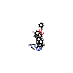 C[C@H]1[C@H](C)CC[C@]2(C(=O)OCc3ccccc3)CC[C@]3(C)C(=CC[C@@H]4[C@@]5(C)Cc6c(N7CCN(C)CC7)ncnc6C(C)(C)[C@@H]5CC[C@]43C)[C@H]12